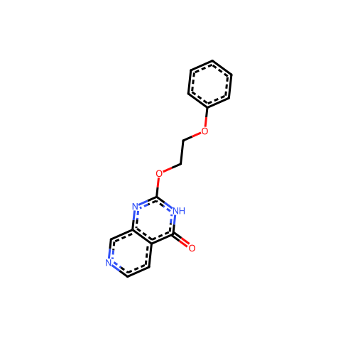 O=c1[nH]c(OCCOc2ccccc2)nc2cnccc12